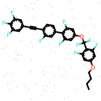 CCCCOc1cc(F)c(C(F)(F)Oc2cc(F)c(-c3ccc(C#Cc4cc(F)c(F)c(F)c4)c(F)c3)c(F)c2)c(F)c1